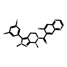 C[C@H]1c2nn(C)c(-c3cc(F)cc(F)c3)c2CCN1C(=O)c1cc2nccnc2cc1F